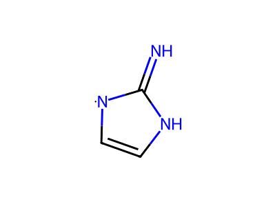 N=C1[N]C=CN1